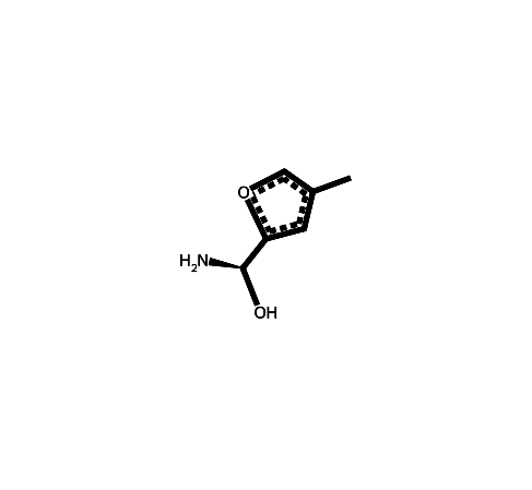 Cc1coc([C@H](N)O)c1